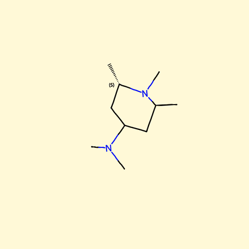 CC1CC(N(C)C)C[C@H](C)N1C